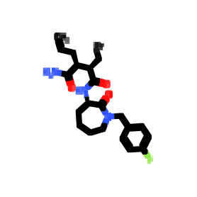 C=CC[C@H](C(N)=O)[C@@H](CC(C)C)C(=O)N[C@H]1CCCCN(Cc2ccc(F)cc2)C1=O